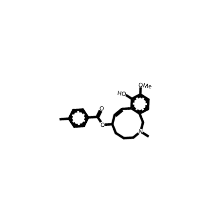 COc1ccc2c(c1O)/C=C\C(OC(=O)c1ccc(C)cc1)CCCN(C)C2